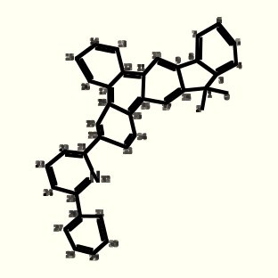 CC1(C)c2ccccc2-c2cc3c4ccccc4c4cc(-c5cccc(-c6ccccc6)n5)ccc4c3cc21